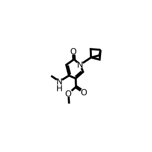 CNc1cc(=O)n(C23CC(C2)C3)cc1C(=O)OC